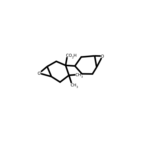 CC1(C)CC2OC2CC1(C(=O)O)C1CCC2OC2C1